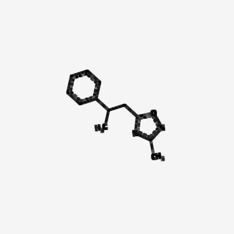 Cc1noc(CC(C)c2ccccc2)n1